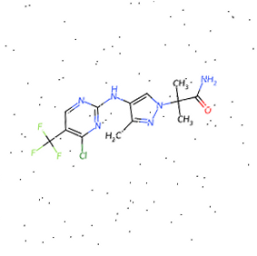 Cc1nn(C(C)(C)C(N)=O)cc1Nc1ncc(C(F)(F)F)c(Cl)n1